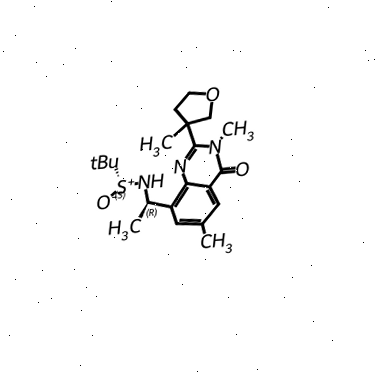 Cc1cc([C@@H](C)N[S@+]([O-])C(C)(C)C)c2nc(C3(C)CCOC3)n(C)c(=O)c2c1